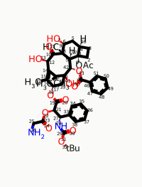 CC(=O)O[C@@]12CC[C@@H]1C[C@H](O)[C@@]1(C)C(=O)[C@H](O)C3=C(C)[C@@H](OC(=O)[C@H](OC(=O)CN)[C@@H](NC(=O)OC(C)(C)C)c4ccccc4)C[C@@](O)([C@@H](OC(=O)c4ccccc4)[C@H]21)C3(C)C